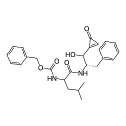 CC(C)CC(NC(=O)OCc1ccccc1)C(=O)N[C@@H](Cc1ccccc1)C(O)c1cc1=O